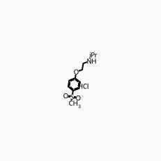 CC(C)NCCOc1ccc(S(C)(=O)=O)cc1.Cl